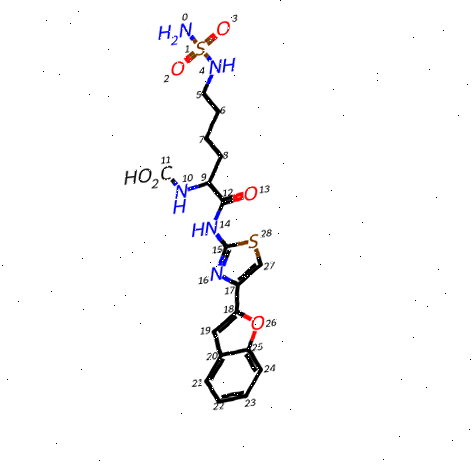 NS(=O)(=O)NCCCCC(NC(=O)O)C(=O)Nc1nc(-c2cc3ccccc3o2)cs1